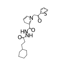 O=C(CCC1CCCCC1)NNC(=O)C1=CN(CC(=O)c2cccs2)C=CC1